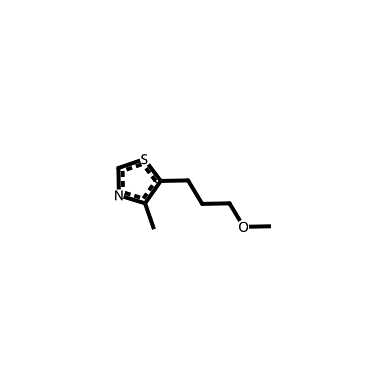 COCCCc1scnc1C